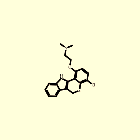 CN(C)CCOc1ccc(Cl)c2c1-c1[nH]c3ccccc3c1CS2